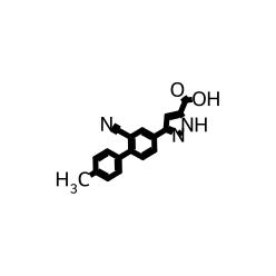 Cc1ccc(-c2ccc(-c3cc(C(=O)O)[nH]n3)cc2C#N)cc1